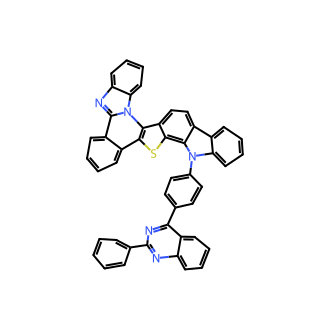 c1ccc(-c2nc(-c3ccc(-n4c5ccccc5c5ccc6c(sc7c8ccccc8c8nc9ccccc9n8c67)c54)cc3)c3ccccc3n2)cc1